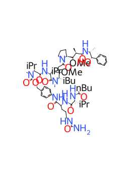 CCCCC(=O)N[C@@H](C(=O)NC(CCCNC(N)=O)C(=O)Nc1ccc(COC(=O)N(C)[C@@H](C(=O)NC(C(=O)N(C)C([C@@H](C)CC)C(C)(CC(=O)N2CCC[C@H]2C(OC)[C@@H](C)C(=O)N[C@H](C)[C@@H](O)c2ccccc2)OC)C(C)C)C(C)C)cc1)C(C)C